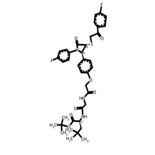 CC(C)(C)C[C@H](NC(=O)CNC(=O)COc1ccc([C@@H]2[C@@H](SCC(=O)c3ccc(F)cc3)C(=O)N2c2ccc(F)cc2)cc1)C(=O)OC(C)(C)C